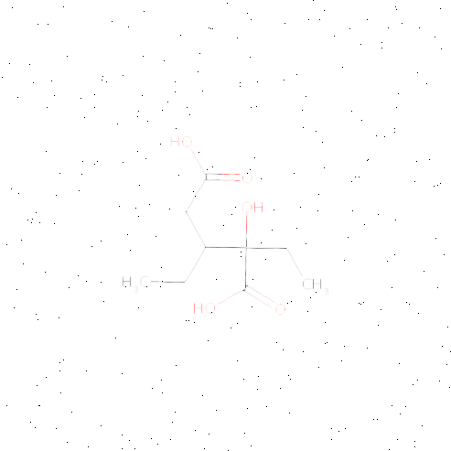 CCC(CC(=O)O)C(O)(CC)C(=O)O